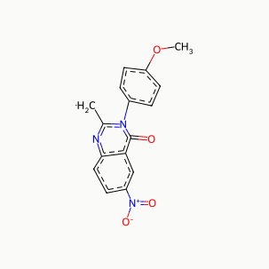 [CH2]c1nc2ccc([N+](=O)[O-])cc2c(=O)n1-c1ccc(OC)cc1